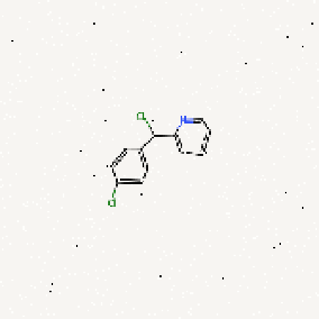 Clc1ccc(C(Cl)c2ccccn2)cc1